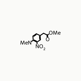 CNc1ccc(CC(=O)OC)cc1[N+](=O)[O-]